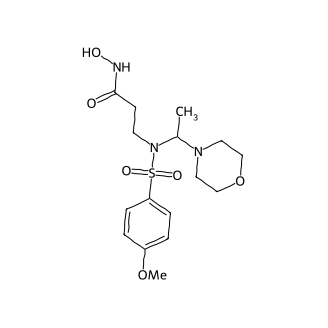 COc1ccc(S(=O)(=O)N(CCC(=O)NO)C(C)N2CCOCC2)cc1